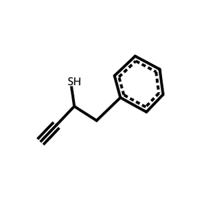 C#CC(S)Cc1ccccc1